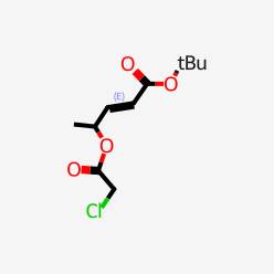 CC(/C=C/C(=O)OC(C)(C)C)OC(=O)CCl